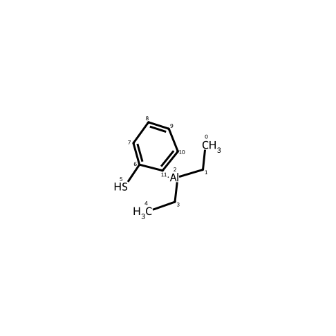 C[CH2][Al][CH2]C.Sc1ccccc1